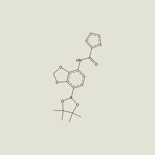 CC1(C)OB(c2ccc(NC(=O)c3cccs3)c3c2OCO3)OC1(C)C